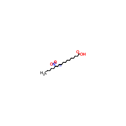 CCCCCC(=C/C=C/CCCCCCCCC(=O)O)[N+](=O)[O-]